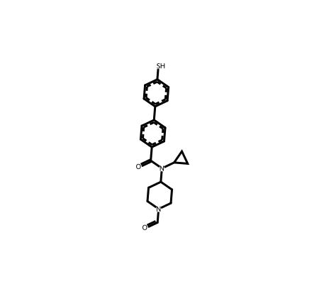 O=CN1CCC(N(C(=O)c2ccc(-c3ccc(S)cc3)cc2)C2CC2)CC1